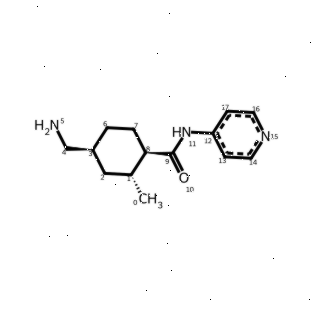 C[C@@H]1C[C@@H](CN)CC[C@H]1C(=O)Nc1ccncc1